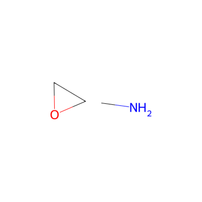 C1CO1.CN